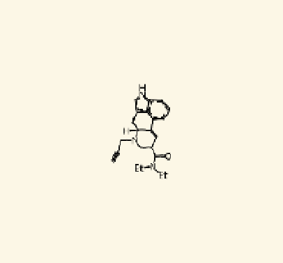 C#CCN1C[C@H](C(=O)N(CC)CC)C=C2c3cccc4[nH]cc(c34)C[C@H]21